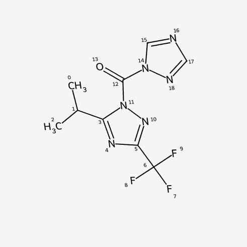 CC(C)c1nc(C(F)(F)F)nn1C(=O)n1cncn1